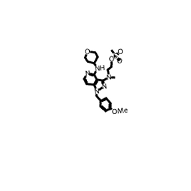 COc1ccc(Cn2nc(N(C)CCOS(C)(=O)=O)c3c(NC4CCOCC4)nccc32)cc1